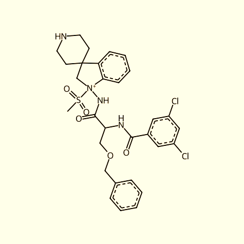 CS(=O)(=O)[N+]1(NC(=O)C(COCc2ccccc2)NC(=O)c2cc(Cl)cc(Cl)c2)CC2(CCNCC2)c2ccccc21